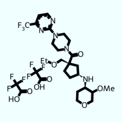 CCOC[C@]1(C(=O)N2CCN(c3nccc(C(F)(F)F)n3)CC2)CC[C@@H](N[C@@H]2CCOCC2OC)C1.O=C(O)C(F)(F)F.O=C(O)C(F)(F)F